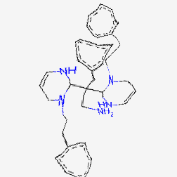 NCC(c1ccccc1)(C1NC=CCN1CCc1ccccc1)C1NC=CCN1CCc1ccccc1